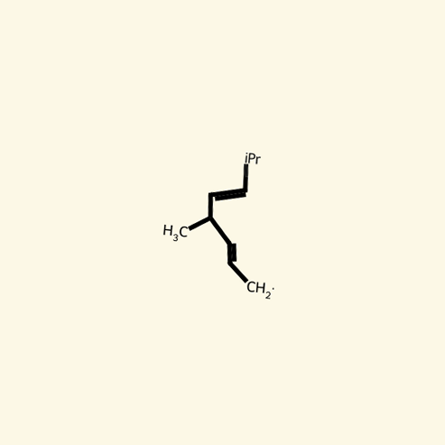 [CH2]C=CC(C)C=CC(C)C